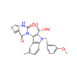 COc1cccc(Cn2c(C(=O)O)c(-n3c(=O)[nH]c4cscc4c3=O)c3cc(C)ccc32)c1